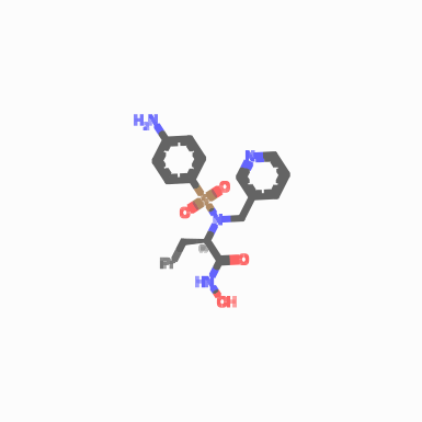 CC(C)C[C@H](C(=O)NO)N(Cc1cccnc1)S(=O)(=O)c1ccc(N)cc1